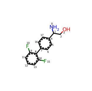 NC(CO)c1ccc(-c2c(F)cccc2F)cc1